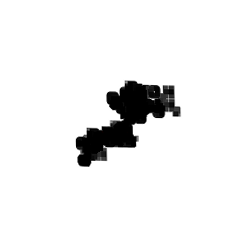 CC[C@H](C)[C@@H]([C@@H](CC(=O)N1CCC[C@H]1[C@H](OC)[C@@H](C)C(=O)N[C@H](C)[C@@H](O)c1ccccc1)OC)N(C)C(=O)[C@@H](NC(=O)[C@H](C(C)C)N(C)C(=O)OCc1ccc(NC(=O)[C@H](CCCNC(N)=O)NC(=O)[C@H](CCC(=O)O)NC(=O)[C@@H](CCC(C)C)NC(=O)CCN2C(=O)C=CC2=O)cc1)C(C)C